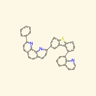 c1ccc(-c2ccc3ccc4ccc(-c5ccc6sc7cccc(-c8cccc9cccnc89)c7c6c5)nc4c3n2)cc1